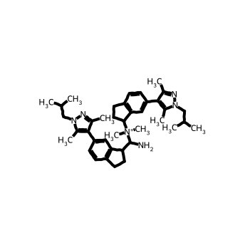 Cc1nn(CC(C)C)c(C)c1-c1ccc2c(c1)C(C(N)[N+](C)(C)C1CCc3ccc(-c4c(C)nn(CC(C)C)c4C)cc31)CC2